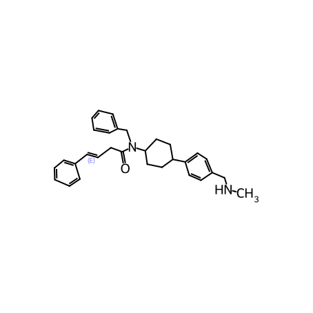 CNCc1ccc(C2CCC(N(Cc3ccccc3)C(=O)C/C=C/c3ccccc3)CC2)cc1